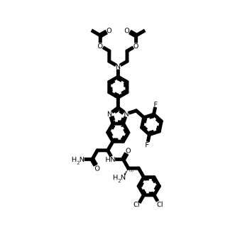 CC(=O)OCCN(CCOC(C)=O)c1ccc(-c2nc3cc(C(CC(N)=O)NC(=O)[C@@H](N)Cc4ccc(Cl)c(Cl)c4)ccc3n2Cc2cc(F)ccc2F)cc1